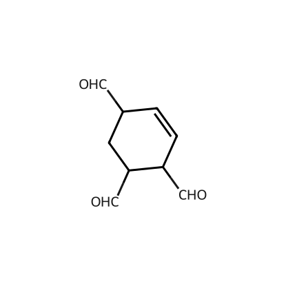 O=CC1C=CC(C=O)C(C=O)C1